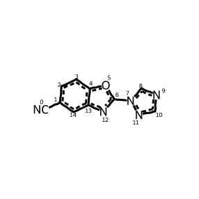 N#Cc1ccc2oc(-n3cncn3)nc2c1